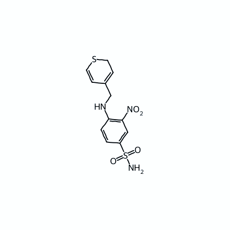 NS(=O)(=O)c1ccc(NCC2=CCSC=C2)c([N+](=O)[O-])c1